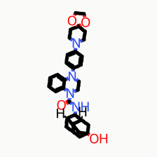 O=C(NC1[C@@H]2CC3C[C@H]1CC(O)(C3)C2)N1CCN(c2ccc(N3CCC4(CC3)OCCO4)cc2)c2ccccc21